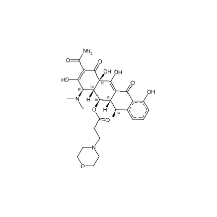 C[C@@H]1c2cccc(O)c2C(=O)C2=C(O)[C@@]3(O)C(=O)C(C(N)=O)=C(O)[C@H](N(C)C)[C@H]3[C@H](OC(=O)CCN3CCOCC3)[C@H]21